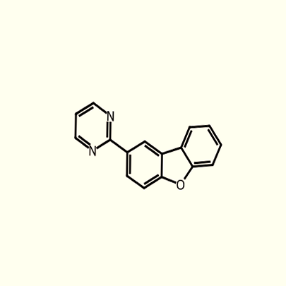 c1cnc(-c2ccc3oc4ccccc4c3c2)nc1